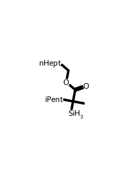 CCCCCCCCOC(=O)C(C)([SiH3])C(C)CCC